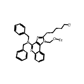 CCOCn1c(CCCCCCl)nc2c(N(Cc3ccccc3)Cc3ccccc3)nc3ccccc3c21